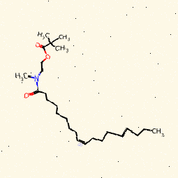 CCCCCCCC/C=C\CCCCCCCC(=O)N(C)CCOC(=O)C(C)(C)C